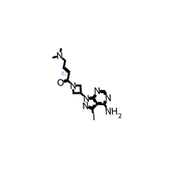 CN(C)C/C=C/C(=O)N1CC(n2nc(I)c3c(N)ncnc32)C1